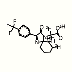 [2H]OC(=O)C([2H])([2H])N1C(=O)C(c2ccc(C(F)(F)F)cc2)=NC12CCCC([2H])C2([2H])[2H]